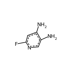 Nc1cnc(F)cc1N